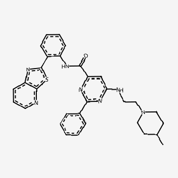 CC1CCN(CCNc2cc(C(=O)Nc3ccccc3-c3nc4cccnc4s3)nc(-c3ccccc3)n2)CC1